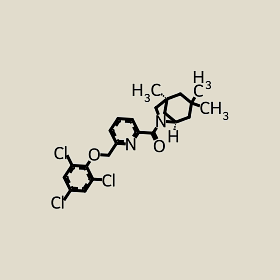 CC1(C)C[C@@H]2C[C@@](C)(CN2C(=O)c2cccc(COc3c(Cl)cc(Cl)cc3Cl)n2)C1